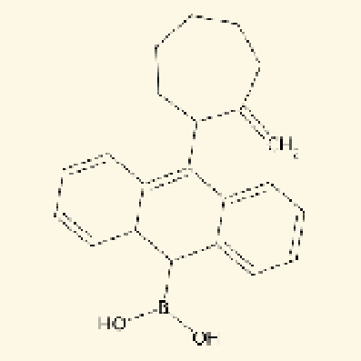 C=C1CCCCCC1C1=C2C=CC=CC2C(B(O)O)c2ccccc21